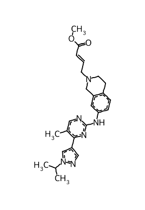 COC(=O)/C=C/CN1CCc2ccc(Nc3ncc(C)c(-c4cnn(C(C)C)c4)n3)cc2C1